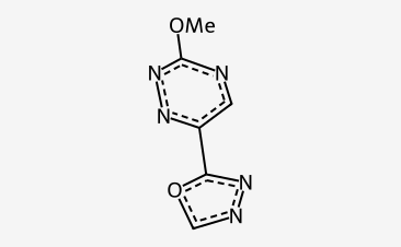 COc1ncc(-c2nnco2)nn1